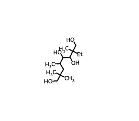 CCC(C)(CO)C(O)C(O)C(C)CC(C)(C)CO